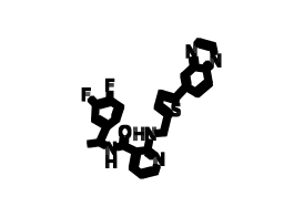 CC(NC(=O)c1cccnc1NCc1ccc(-c2ccc3nccnc3c2)s1)c1ccc(F)c(F)c1